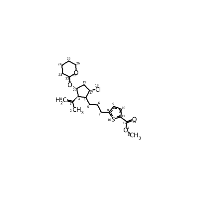 C=C(C)[C@@H]1C(CCCc2ccc(C(=O)OC)s2)[C@H](Cl)C[C@H]1OC1CCCCO1